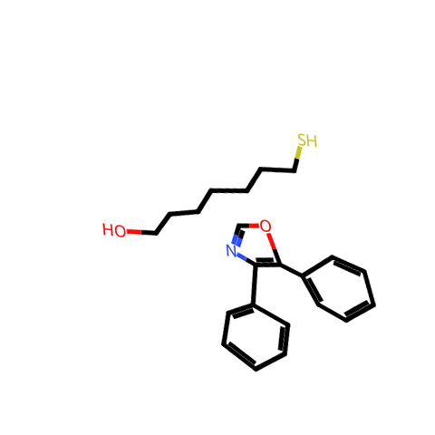 OCCCCCCCS.c1ccc(-c2ncoc2-c2ccccc2)cc1